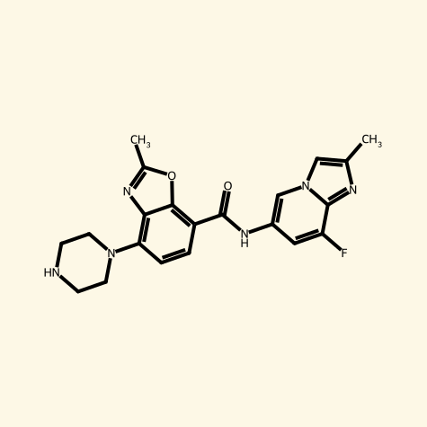 Cc1cn2cc(NC(=O)c3ccc(N4CCNCC4)c4nc(C)oc34)cc(F)c2n1